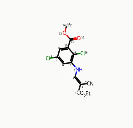 CCOC(=O)C(C#N)=CNc1cc(Cl)cc(C(=O)OC(C)C)c1Cl